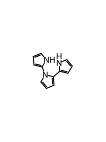 c1c[nH]c(-c2cccn2-c2ccc[nH]2)c1